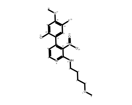 COCCCCNc1nccc(-c2cc(F)c(OC)cc2Cl)c1[N+](=O)[O-]